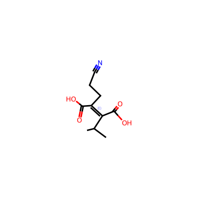 CC(C)/C(C(=O)O)=C(/CCC#N)C(=O)O